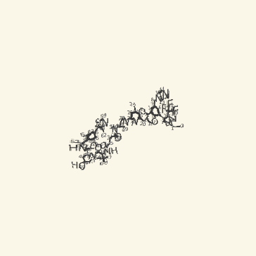 CCn1cc(-c2cc(Cn3ccnc3)cc3c2OC[C@@H](Cc2cc(C)cc(N4CC(N(C)C(=O)CCC(=O)N[C@H](C(=O)N5C[C@H](O)C[C@H]5C(=O)N[C@@H](C)c5ccc(-c6scnc6C)cc5)C(C)(C)C)C4)n2)C3=O)c(C(F)(F)F)n1